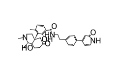 Cc1ccc(C(=O)NCCc2ccc(-c3cc[nH]c(=O)c3)cc2)c(O)c1[C@]12CCN(C)[C@H](C)[C@]1(O)CCC(=O)C2